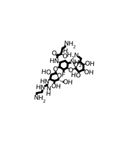 N=C(NCCN)N[C@@H]1C(O)[C@@H](CO)OC(OC2C(F)[C@H](O[C@H]3OC(CN)[C@@H](O)C(O)C3O)C(N)C[C@H]2NC(=O)[C@@H](O)CCN)[C@@H]1O